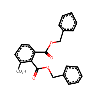 O=C(O)c1cccc(C(=O)OCc2ccccc2)c1C(=O)OCc1ccccc1